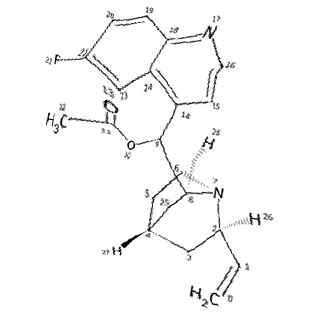 C=C[C@H]1C[C@@H]2CC[N@@]1[C@H](C(OC(C)=O)c1ccnc3ccc(F)cc13)C2